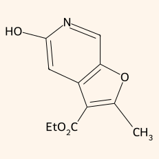 CCOC(=O)c1c(C)oc2cnc(O)cc12